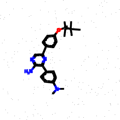 CN(C)c1ccc(-c2nc(-c3ccc(O[Si](C)(C)C(C)(C)C)cc3)cnc2N)cc1